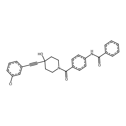 O=C(Nc1ccc(C(=O)N2CCC(O)(C#Cc3cccc(Cl)c3)CC2)cc1)c1ccccc1